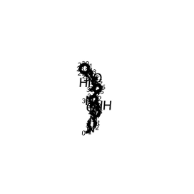 CCN1CCN(c2ccc(Nc3cc(-c4cccc(NC(=O)c5cc6c(s5)CCCCC6)c4C)cn(C)c3=O)nc2)CC1